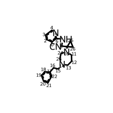 N#Cc1cccnc1NCC1(N2CCCN(CCc3ccccc3)CC2)CC1